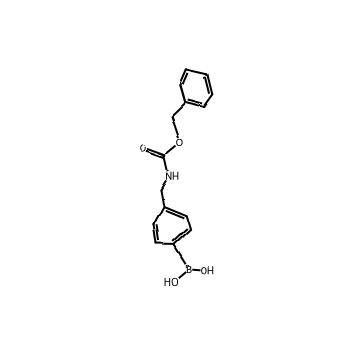 O=C(NCc1ccc(B(O)O)cc1)OCc1ccccc1